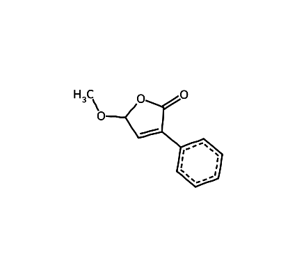 COC1C=C(c2ccccc2)C(=O)O1